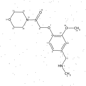 CNCc1ccc(OCC(=O)N2CCOCC2)c(OC)c1